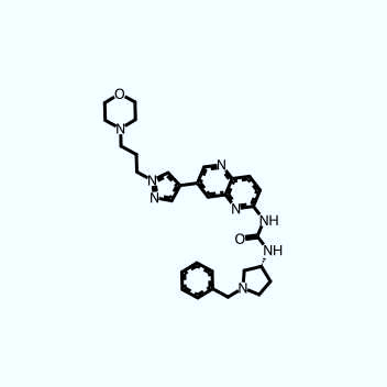 O=C(Nc1ccc2ncc(-c3cnn(CCCN4CCOCC4)c3)cc2n1)N[C@@H]1CCN(Cc2ccccc2)C1